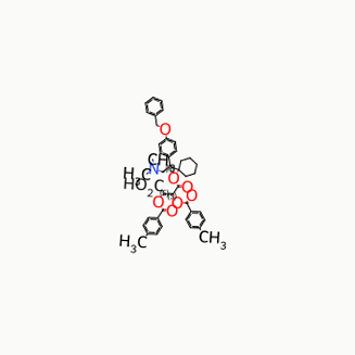 Cc1ccc(C(=O)O[C@H](C(=O)O)[C@H](OC(=O)c2ccc(C)cc2)C(=O)OC2([C@@H](CN(C)C)c3ccc(OCc4ccccc4)cc3)CCCCC2)cc1